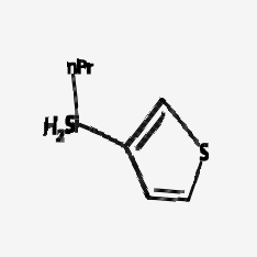 CCC[SiH2]c1ccsc1